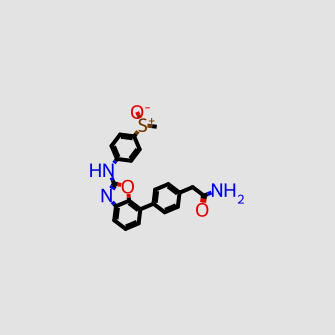 C[S+]([O-])c1ccc(Nc2nc3cccc(-c4ccc(CC(N)=O)cc4)c3o2)cc1